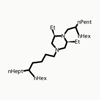 CCCCCCCC(CCCCCC)CCCCN1C[C@@H](CC)N(CC(CCCCC)CCCCCC)[C@@H](CC)C1